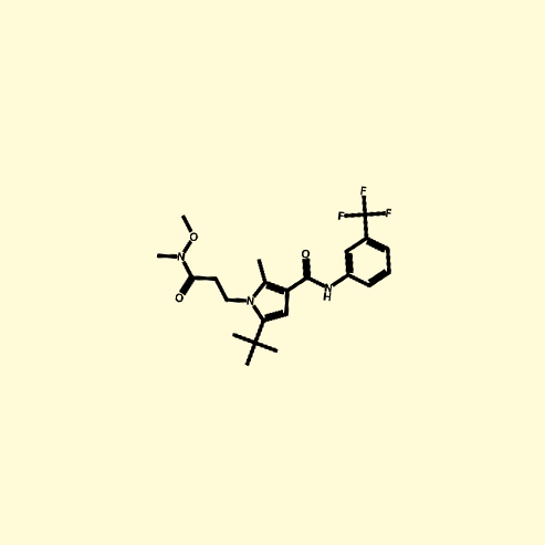 CON(C)C(=O)CCn1c(C(C)(C)C)cc(C(=O)Nc2cccc(C(F)(F)F)c2)c1C